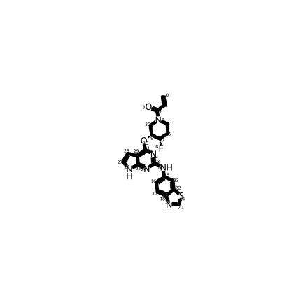 C=CC(=O)N1CC[C@H](F)[C@H](Oc2nc(Nc3ccc4ncsc4c3)nc3[nH]ccc23)C1